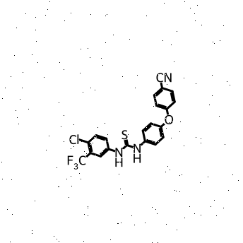 N#Cc1ccc(Oc2ccc(NC(=S)Nc3ccc(Cl)c(C(F)(F)F)c3)cc2)cc1